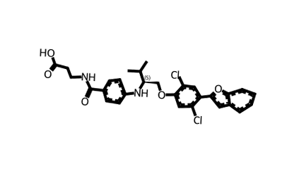 CC(C)[C@@H](COc1cc(Cl)c(-c2cc3ccccc3o2)cc1Cl)Nc1ccc(C(=O)NCCC(=O)O)cc1